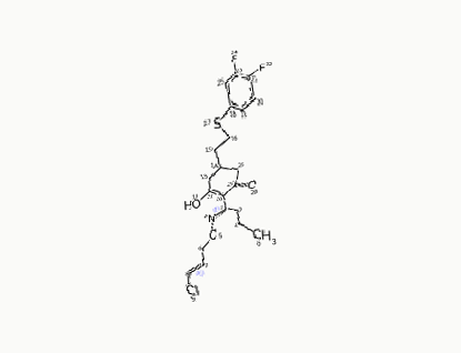 CCC/C(=N\OC/C=C/Cl)C1=C(O)CC(CCSc2ccc(F)c(F)c2)CC1=O